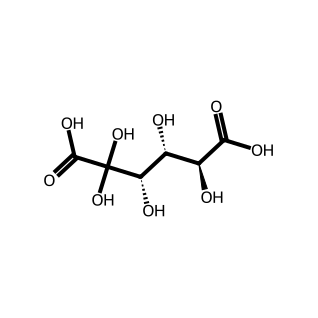 O=C(O)[C@@H](O)[C@@H](O)[C@H](O)C(O)(O)C(=O)O